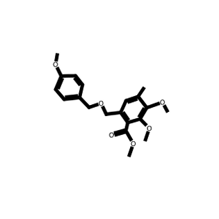 COC(=O)c1c(COCc2ccc(OC)cc2)cc(C)c(OC)c1OC